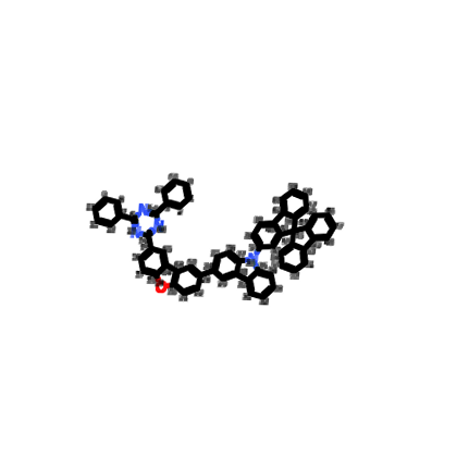 c1ccc(-c2nc(-c3ccccc3)nc(-c3ccc4oc5ccc(-c6ccc7c(c6)c6ccccc6n7-c6ccc7c(c6)C6(c8ccccc8-c8ccccc86)c6ccccc6-7)cc5c4c3)n2)cc1